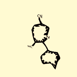 N#Cc1cnc(-c2ccccc2)c(C#N)c1